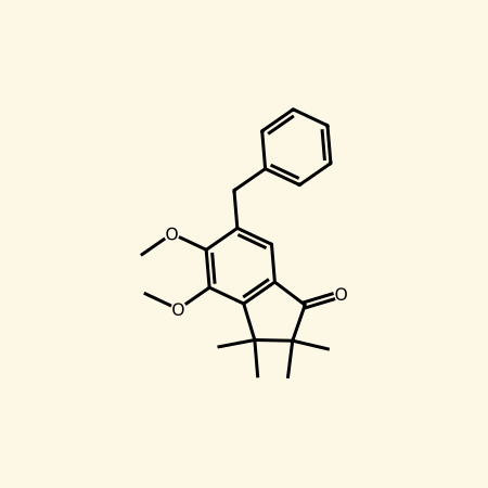 COc1c(Cc2ccccc2)cc2c(c1OC)C(C)(C)C(C)(C)C2=O